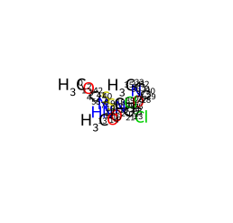 CCOc1ccc2nc(SC(NC(C)=O)C(=O)N(C)c3ccc(Cl)c(COc4cccc5ccc(C)nc45)c3Cl)sc2c1